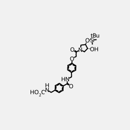 CC(C)(C)[Si](C)(C)O[C@@H]1CN(C(=O)COc2ccc(CNC(=O)c3ccc(CNC(=O)O)cc3)cc2)C[C@H]1O